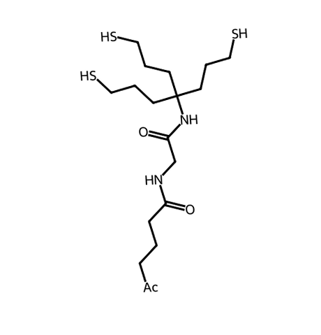 CC(=O)CCCC(=O)NCC(=O)NC(CCCS)(CCCS)CCCS